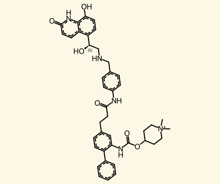 C[N+]1(C)CCC(OC(=O)Nc2cc(CCC(=O)Nc3ccc(CNC[C@@H](O)c4ccc(O)c5[nH]c(=O)ccc45)cc3)ccc2-c2ccccc2)CC1